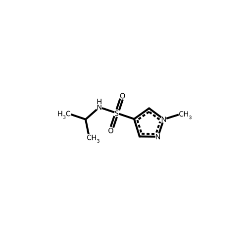 CC(C)NS(=O)(=O)c1cnn(C)c1